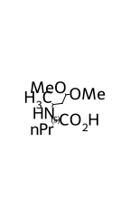 CCC[C@H](NC(C)CC(OC)OC)C(=O)O